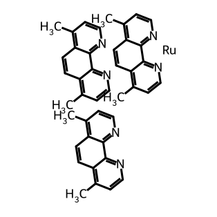 Cc1ccnc2c1ccc1c(C)ccnc12.Cc1ccnc2c1ccc1c(C)ccnc12.Cc1ccnc2c1ccc1c(C)ccnc12.[Ru]